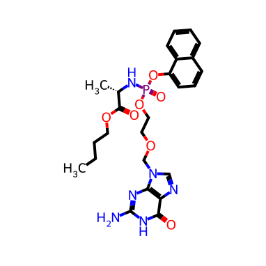 CCCCOC(=O)[C@H](C)NP(=O)(OCCOCn1cnc2c(=O)[nH]c(N)nc21)Oc1cccc2ccccc12